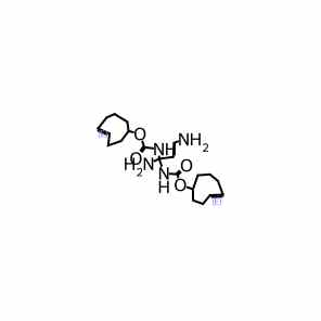 NCCC(N)(NC(=O)OC1CC/C=C/CCC1)NC(=O)OC1CC/C=C/CCC1